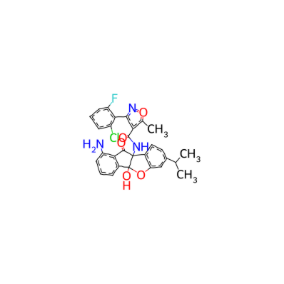 Cc1onc(-c2c(F)cccc2Cl)c1C(=O)NC12C(=O)c3c(N)cccc3C1(O)Oc1cc(C(C)C)ccc12